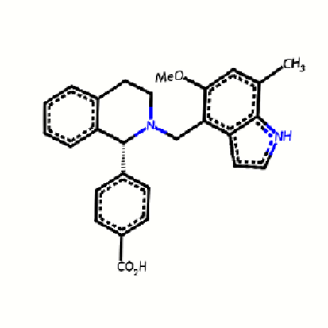 COc1cc(C)c2[nH]ccc2c1CN1CCc2ccccc2[C@H]1c1ccc(C(=O)O)cc1